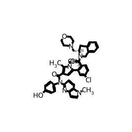 Cc1c(C(=O)N(c2ccc(O)cc2)c2ccc3c(ccn3C)n2)cc(-c2cc(Cl)ccc2C(=O)N2Cc3ccccc3C[C@H]2CN2CCOCC2)n1C